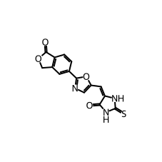 O=C1NC(=S)NC1=Cc1cnc(-c2ccc3c(c2)COC3=O)o1